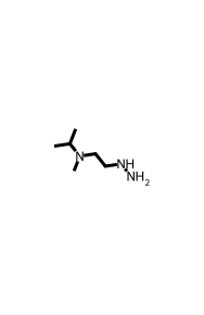 CC(C)N(C)CCNN